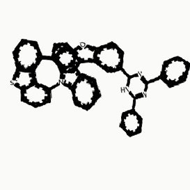 c1ccc(C2=NC(c3ccc4oc5cc(-c6cccc7sc8cccc(-n9c%10ccccc%10c%10ccccc%109)c8c67)ccc5c4c3)NC(c3ccccc3)=N2)cc1